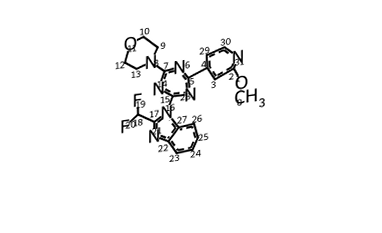 COc1cc(-c2nc(N3CCOCC3)nc(-n3c(C(F)F)nc4ccccc43)n2)ccn1